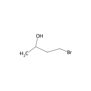 [CH2]C(O)CCBr